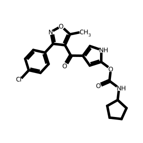 Cc1onc(-c2ccc(Cl)cc2)c1C(=O)c1c[nH]c(OC(=O)NC2CCCC2)c1